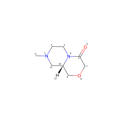 CN1CCN2C(=O)COC[C@@H]2C1